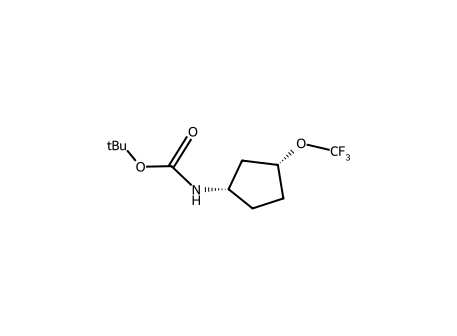 CC(C)(C)OC(=O)N[C@H]1CC[C@@H](OC(F)(F)F)C1